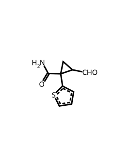 NC(=O)C1(c2cccs2)CC1C=O